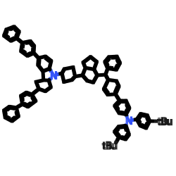 CC(C)(C)c1ccc(N(c2ccc(C3=CCC(C(c4ccccc4)C4CCC(C5CCC(N6C7C=CC(c8ccc(-c9ccccc9)cc8)=CC7C7CC(c8ccc(-c9ccccc9)cc8)CCC76)CC5)C5CCCC54)C=C3)cc2)c2ccc(C(C)(C)C)cc2)cc1